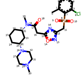 Cc1cccc(Cl)c1S(=O)(=O)Cc1noc(CC(=O)N(C)[C@H]2CCC[C@@H](N3CCN(C)CC3)C2)n1